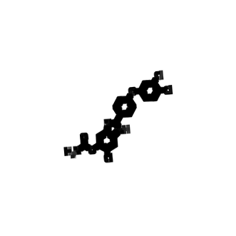 NC(=O)Oc1cc2nc(-c3ccc(Oc4ccc(Cl)c(Cl)c4)cc3)[nH]c2cc1Cl